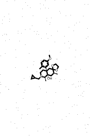 COc1ccc(C)c([C@]23CCN(CC4CC4)[C@H](C)[C@]2(O)C[C@H](C)C2(C3)OCCO2)c1